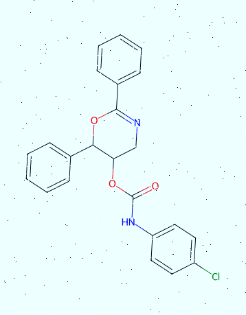 O=C(Nc1ccc(Cl)cc1)OC1CN=C(c2ccccc2)OC1c1ccccc1